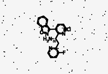 Cl.N[C@@H](Cc1ncccc1F)c1ncccc1-c1noc2ccccc12